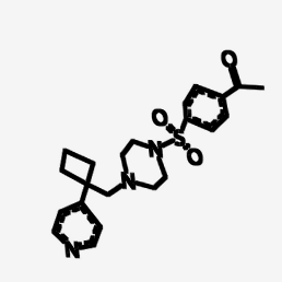 CC(=O)c1ccc(S(=O)(=O)N2CCN(CC3(c4ccncc4)CCC3)CC2)cc1